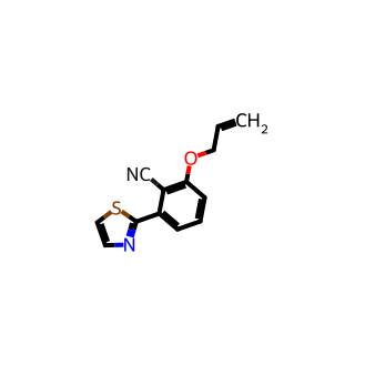 C=CCOc1cccc(-c2nccs2)c1C#N